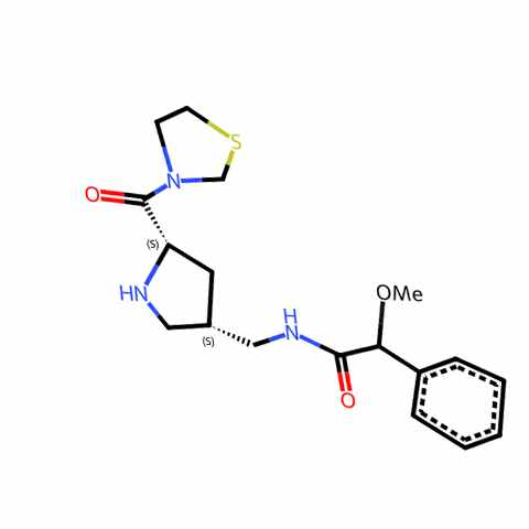 COC(C(=O)NC[C@@H]1CN[C@H](C(=O)N2CCSC2)C1)c1ccccc1